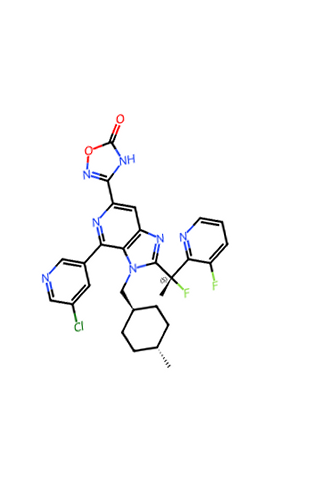 C[C@](F)(c1ncccc1F)c1nc2cc(-c3noc(=O)[nH]3)nc(-c3cncc(Cl)c3)c2n1C[C@H]1CC[C@H](C)CC1